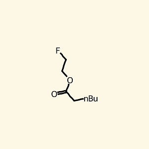 CCCCCC(=O)OCCF